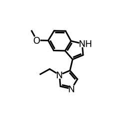 CCn1cncc1-c1c[nH]c2ccc(OC)cc12